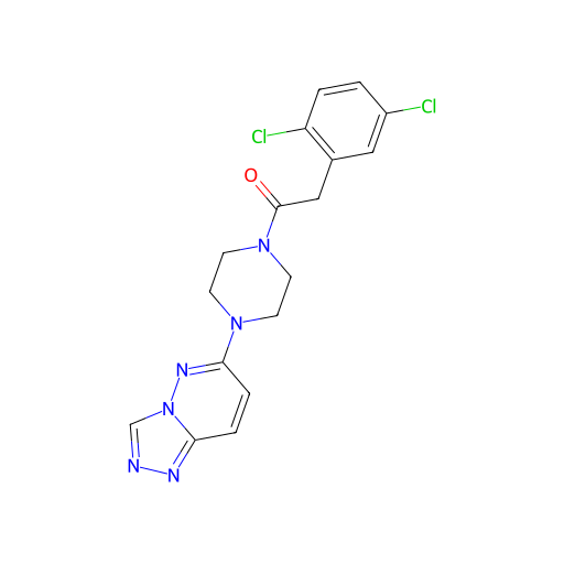 O=C(Cc1cc(Cl)ccc1Cl)N1CCN(c2ccc3nncn3n2)CC1